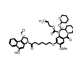 C=CCOC(=O)N1c2cc(OCCCCCC(=O)N3C[C@@H](CCl)c4c3cc(O)c3ccccc43)c(OC)cc2C(=O)N2CCCCC2[C@@H]1OC1CCCCO1